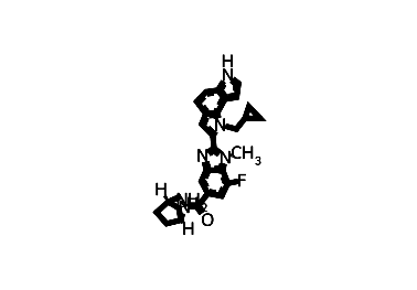 Cn1c(-c2cc3ccc4[nH]ccc4c3n2CC2CC2)nc2cc(C(=O)N3C[C@H]4CC[C@@H]3[C@@H]4N)cc(F)c21